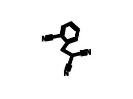 N#Cc1ccccc1CC(C#N)C#N